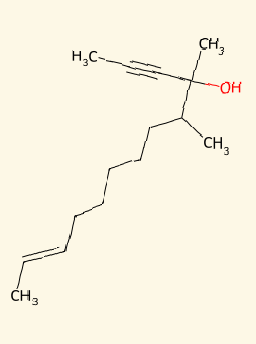 CC#CC(C)(O)C(C)CCCCCC=CC